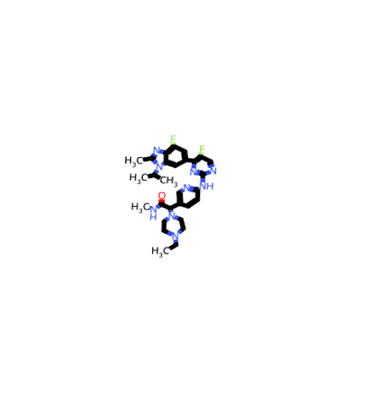 CCN1CCN(C(C(=O)NC)c2ccc(Nc3ncc(F)c(-c4cc(F)c5nc(C)n(C(C)C)c5c4)n3)nc2)CC1